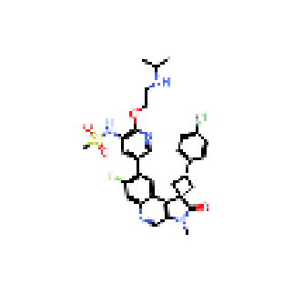 CC(C)NCCOc1ncc(-c2cc3c(cc2F)ncc2c3[C@]3(C[C@H](c4ccc(Cl)cc4)C3)C(=O)N2C)cc1NS(C)(=O)=O